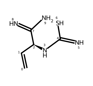 C=C[C@H](NC(=N)S)C(=N)N